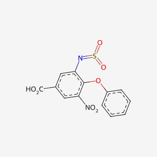 O=C(O)c1cc(N=S(=O)=O)c(Oc2ccccc2)c([N+](=O)[O-])c1